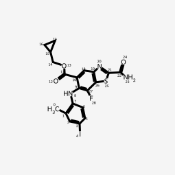 Cc1cc(I)ccc1Nc1c(C(=O)OCC2CC2)cc2nc(C(N)=O)sc2c1F